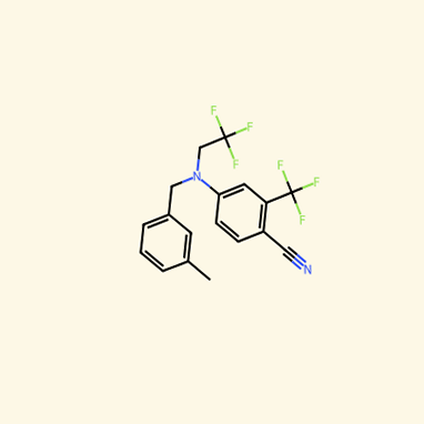 Cc1cccc(CN(CC(F)(F)F)c2ccc(C#N)c(C(F)(F)F)c2)c1